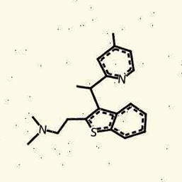 Cc1ccnc(C(C)c2c(CCN(C)C)sc3ccccc23)c1